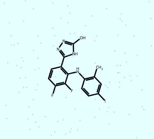 Cc1cc(I)ccc1Nc1c(-c2nnc(O)[nH]2)ccc(F)c1F